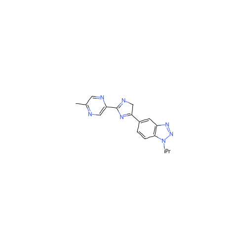 Cc1cnc(C2=NCC(c3ccc4c(c3)nnn4C(C)C)=N2)cn1